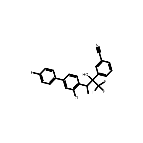 CC(c1ccc(-c2ccc(F)cc2)cc1Cl)C(O)(c1cccc(C#N)c1)C(F)(F)F